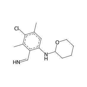 Cc1cc(NC2CCCCO2)c(C=N)c(C)c1Cl